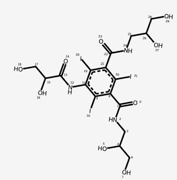 O=C(NCC(O)CO)c1c(I)c(NC(=O)C(O)CO)c(I)c(C(=O)NCC(O)CO)c1I